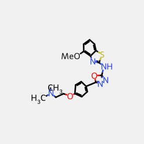 COc1cccc2sc(Nc3nnc(-c4ccc(OCCN(C)C)cc4)o3)nc12